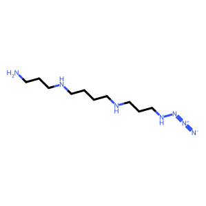 [N-]=[N+]=NNCCCNCCCCNCCCN